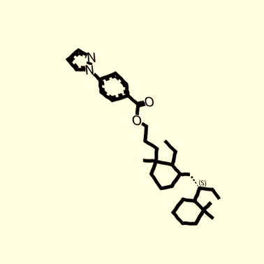 CCC1C(C[C@H](CC)C2CCCCC2(C)C)CCCC1(C)CCCOC(=O)c1ccc(-n2cccn2)cc1